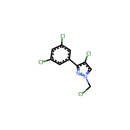 ClCn1cc(Cl)c(-c2cc(Cl)cc(Cl)c2)n1